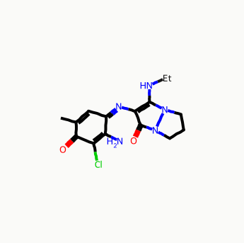 CCNc1c(/N=C2/C=C(C)C(=O)C(Cl)=C2N)c(=O)n2n1CCC2